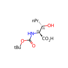 CCC[C@H](O)[C@H](NC(=O)OC(C)(C)C)C(=O)O